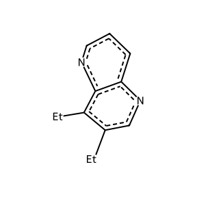 CCc1cnc2cccnc2c1CC